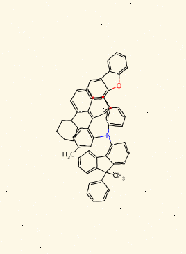 Cc1ccc(-c2cccc3cccc(C4CCCCC4)c23)c(N(c2cccc(-c3cccc4c3oc3ccccc34)c2)c2cccc3c2-c2ccccc2C3(C)c2ccccc2)c1